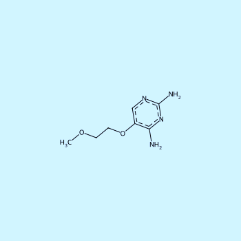 COCCOc1cnc(N)nc1N